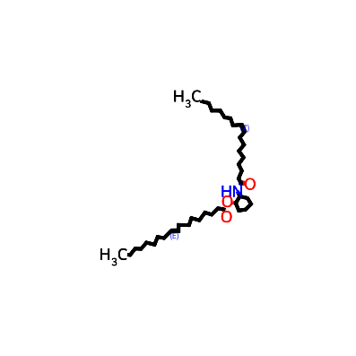 CCCCCCCC/C=C\CCCCCCCC(=O)NC1CCCCC1OC(=O)CCCCCCC/C=C/CCCCCCCC